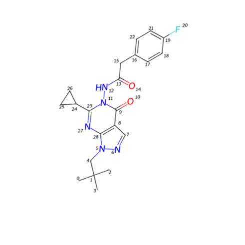 CC(C)(C)Cn1ncc2c(=O)n(NC(=O)Cc3ccc(F)cc3)c(C3CC3)nc21